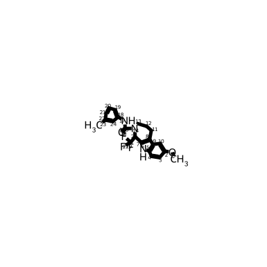 COc1ccc2[nH]c3c(c2c1)CCCN(C(=O)Nc1cccc(C)c1)C3C(F)(F)F